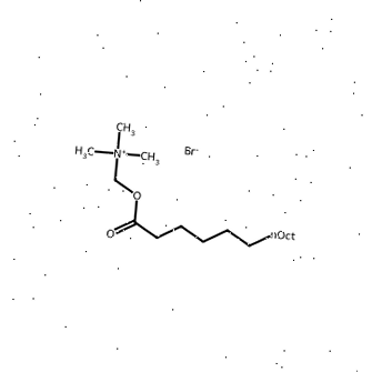 CCCCCCCCCCCCCC(=O)OC[N+](C)(C)C.[Br-]